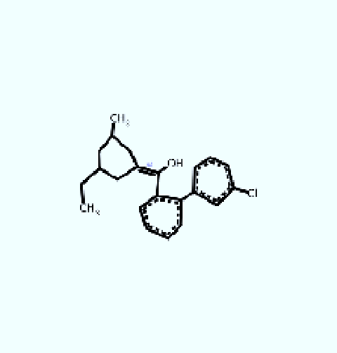 CCC1C/C(=C(/O)c2ccccc2-c2cccc(Cl)c2)CC(C)C1